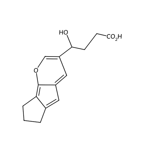 O=C(O)CCC(O)c1coc2c3c(cc-2c1)CCC3